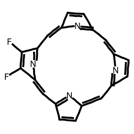 FC1=C(F)C2=NC1=CC1=NC(=CC3=NC(=CC4=NC(=C2)C=C4)C=C3)C=C1